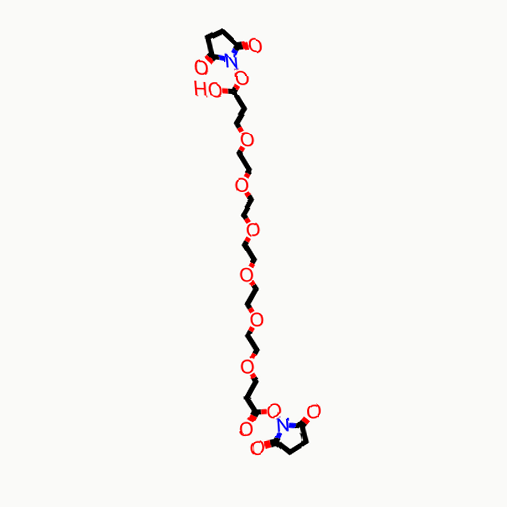 O=C(CCOCCOCCOCCOCCOCCOCCC(O)ON1C(=O)CCC1=O)ON1C(=O)CCC1=O